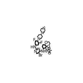 CN1CCN(C2CCN(c3c(F)cc(Nc4ncc(Br)c(Nc5ccc6c(c5N(C)S(C)(=O)=O)OCCO6)n4)cc3F)CC2)CC1